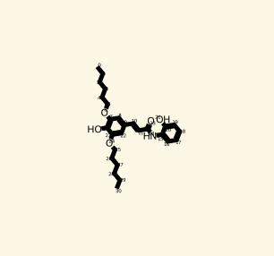 CCCCCCOc1cc(C=CC(=O)Nc2ccccc2O)cc(OCCCCCC)c1O